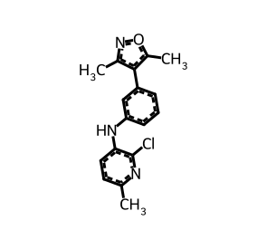 Cc1ccc(Nc2cccc(-c3c(C)noc3C)c2)c(Cl)n1